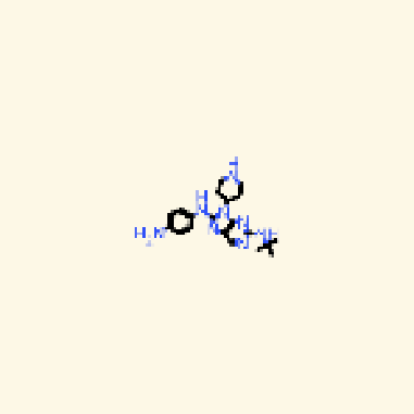 CC(C)(C)Nc1ncc2nc(Nc3ccc(N)cc3)n(C3CCNCC3)c2n1